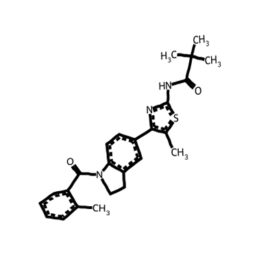 Cc1ccccc1C(=O)N1CCc2cc(-c3nc(NC(=O)C(C)(C)C)sc3C)ccc21